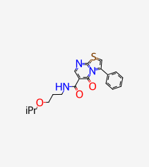 CC(C)OCCCNC(=O)c1cnc2scc(-c3ccccc3)n2c1=O